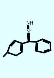 CC1C=CC(C(=[N+]=N)c2ccccc2)=CC1